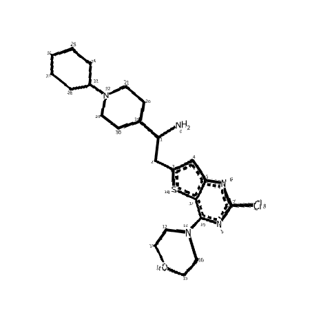 NC(Cc1cc2nc(Cl)nc(N3CCOCC3)c2s1)C1CCN(C2CCCCC2)CC1